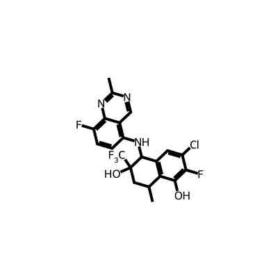 Cc1ncc2c(NC3c4cc(Cl)c(F)c(O)c4C(C)CC3(O)C(F)(F)F)ccc(F)c2n1